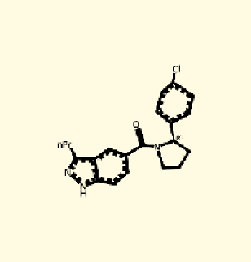 CCCc1n[nH]c2ccc(C(=O)N3CCC[C@@H]3c3ccc(Cl)cc3)cc12